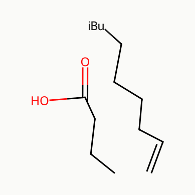 C=CCCCCC(C)CC.CCCC(=O)O